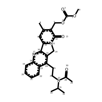 COC(=O)OCc1c(C)cc2n(c1=O)Cc1c-2nc2ccccc2c1CCN(C(C)=O)C(C)C